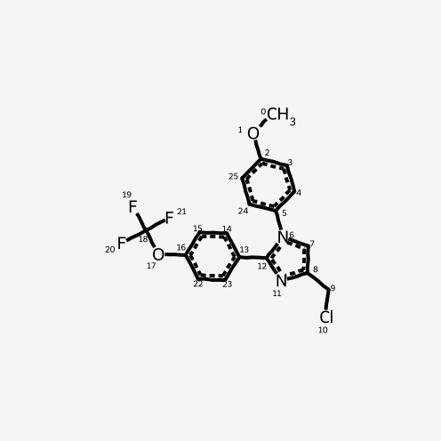 COc1ccc(-n2cc(CCl)nc2-c2ccc(OC(F)(F)F)cc2)cc1